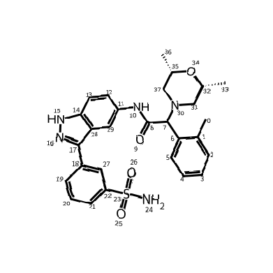 Cc1ccccc1C(C(=O)Nc1ccc2[nH]nc(-c3cccc(S(N)(=O)=O)c3)c2c1)N1C[C@@H](C)O[C@@H](C)C1